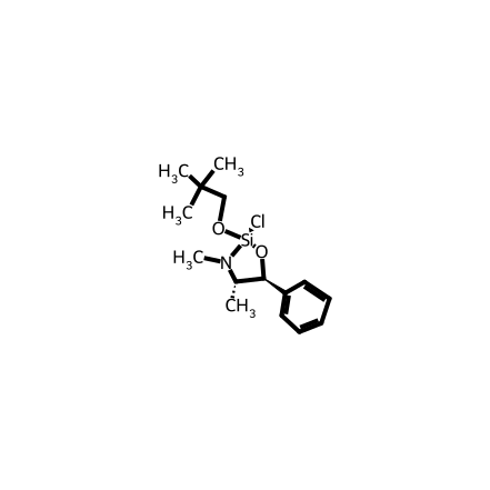 C[C@H]1[C@H](c2ccccc2)O[Si@@](Cl)(OCC(C)(C)C)N1C